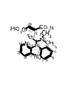 CCC(N(C)C)N(c1ccccc1)c1ncccc1[N+](=O)[O-].O=C(O)/C=C/C(=O)O